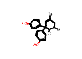 CCC1CC(CC)C(CC)C(c2ccc(O)cc2)(c2ccc(O)cc2)C1